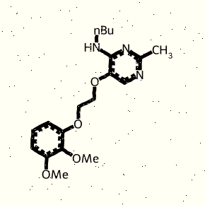 CCCCNc1nc(C)ncc1OCCOc1cccc(OC)c1OC